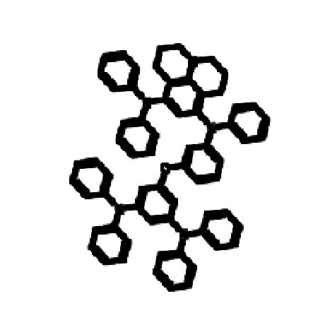 c1ccc(N(c2ccccc2)c2cc(Oc3cccc(N(c4ccccc4)c4cc(N(c5ccccc5)c5ccccc5)c5c6c4CCCN6CCC5)c3)cc(N(c3ccccc3)c3ccccc3)c2)cc1